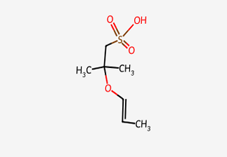 CC=COC(C)(C)CS(=O)(=O)O